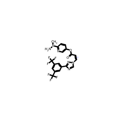 CN(N)c1ccc(OC(=O)/C=C\n2cnc(-c3cc(C(F)(F)F)cc(C(F)(F)F)c3)n2)cn1